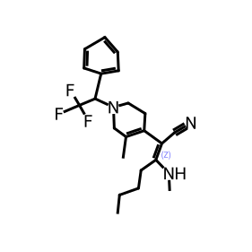 CCCC/C(NC)=C(/C#N)C1=C(C)CN(C(c2ccccc2)C(F)(F)F)CC1